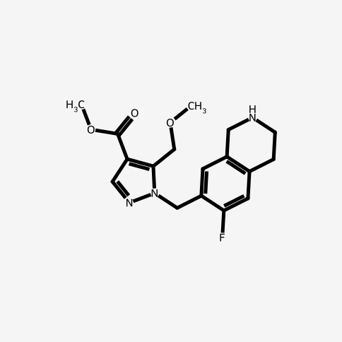 COCc1c(C(=O)OC)cnn1Cc1cc2c(cc1F)CCNC2